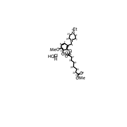 CCN1CCN(Cc2ccc(OC)c(OC)c2OC(=O)CCCCCCC(=O)OC)CC1.Cl.Cl